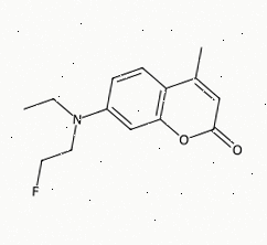 CCN(CCF)c1ccc2c(C)cc(=O)oc2c1